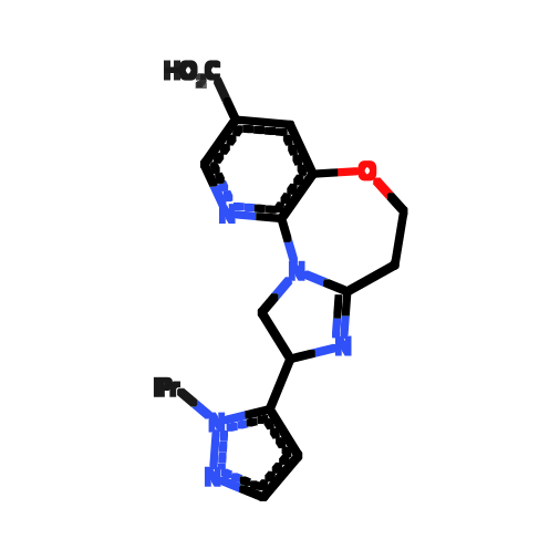 CC(C)n1nccc1C1CN2C(=N1)CCOc1cc(C(=O)O)cnc12